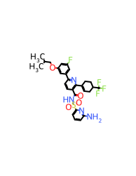 CC(C)COc1cc(F)cc(-c2ccc(C(=O)NS(=O)(=O)c3cccc(N)n3)c(C3=CCC(C(F)(F)F)CC3)n2)c1